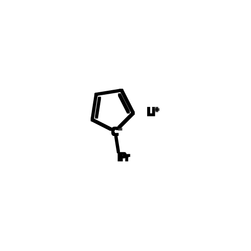 CC(C)[c-]1cccc1.[Li+]